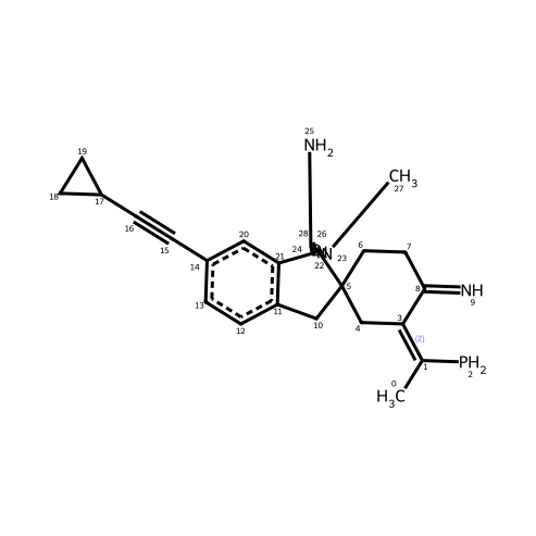 C/C(P)=C1\CC2(CCC1=N)Cc1ccc(C#CC3CC3)cc1C21N=C(N)N(C)O1